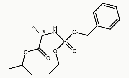 CCOP(=O)(N[C@@H](C)C(=O)OC(C)C)OCc1ccccc1